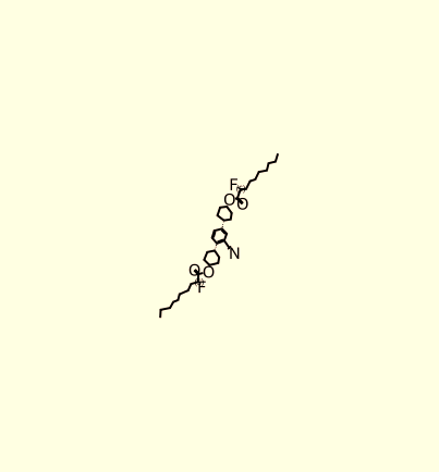 CCCCCCCC[C@H](F)C(=O)O[C@H]1CC[C@H](c2ccc([C@H]3CC[C@H](OC(=O)[C@@H](F)CCCCCCCC)CC3)c(C#N)c2)CC1